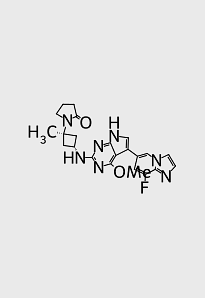 COc1nc(N[C@H]2C[C@](C)(N3CCCC3=O)C2)nc2[nH]cc(-c3cc(F)c4nccn4c3)c12